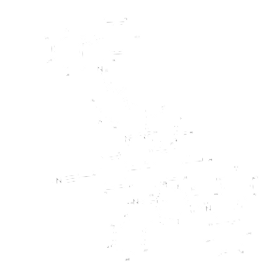 N#Cc1cc(-n2c3ccccc3c3cc(-n4c5ccccc5c5ccccc54)ccc32)c(-c2c(F)c(F)c(F)c(F)c2F)c(-n2c3ccccc3c3cc(-n4c5ccccc5c5ccccc54)ccc32)c1